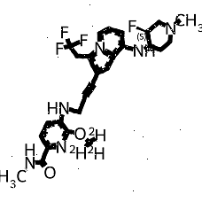 [2H]C([2H])([2H])Oc1nc(C(=O)NC)ccc1NCC#Cc1cc2c(N[C@@H]3CCN(C)C[C@@H]3F)cccn2c1CC(F)(F)F